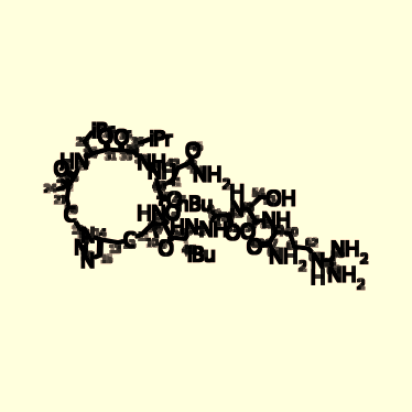 CCCC[C@H](NNC(C(=O)C(=O)[C@]1(C)CCCc2cnnn2CCCC(C)(C)C(=O)N[C@@H](CC(C)C)C(=O)C(=O)[C@H](CC(C)C)NN[C@@H](CCC(N)=O)C(=O)N1)[C@@H](C)CC)C(=O)N[C@@H](CO)C(=O)N[C@@H](CCCNC(N)N)C(N)=O